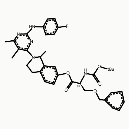 Cc1nc(Nc2ccc(F)cc2)nc(N2CCc3ccc(OC(=O)[C@H](COCc4ccccc4)NC(=O)OC(C)(C)C)cc3C2C)c1C